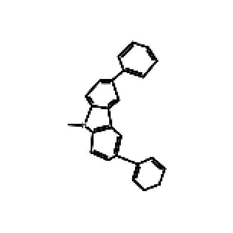 Cn1c2ccc(C3=CCCC=C3)cc2c2cc(-c3ccccc3)ccc21